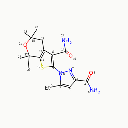 CCc1cc(C(N)=O)nn1-c1sc2c(c1C(N)=O)CC(C)(C)OC2(C)C